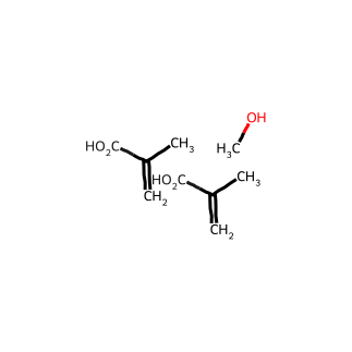 C=C(C)C(=O)O.C=C(C)C(=O)O.CO